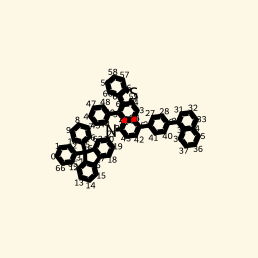 c1ccc(C2(c3ccccc3)c3ccccc3-c3ccc(N(c4ccc(-c5ccc(-c6cccc7ccccc67)cc5)cc4)c4ccccc4-c4cccc5sc6ccccc6c45)cc32)cc1